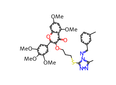 COc1cc(OC)c2c(=O)c(OCCCSc3nnc(C)n3N=Cc3cccc(C)c3)c(-c3cc(OC)c(OC)c(OC)c3)oc2c1